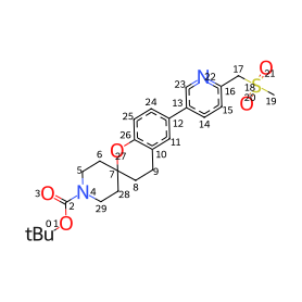 CC(C)(C)OC(=O)N1CCC2(CCc3cc(-c4ccc(CS(C)(=O)=O)nc4)ccc3O2)CC1